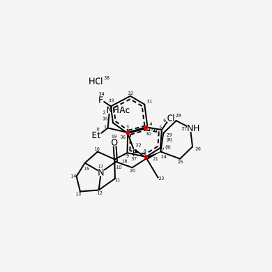 CCC(NC(C)=O)c1cc(Cl)ccc1C1CC2CCC(C1)N2C(=O)CC(C)(C)[C@@H]1CCNC[C@H]1c1ccc(F)cc1F.Cl